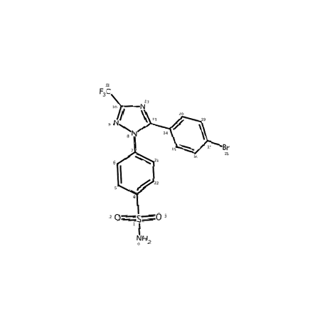 NS(=O)(=O)c1ccc(-n2nc(C(F)(F)F)nc2-c2ccc(Br)cc2)cc1